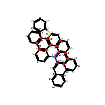 c1ccc(-c2ccccc2-c2c(-c3ccccc3)cccc2N(c2ccccc2-c2cccc3c2sc2ccccc23)c2cc3ccccc3c3ccccc23)cc1